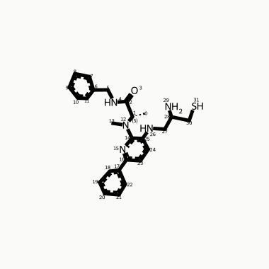 C[C@@H](C(=O)NCc1ccccc1)N(C)c1nc(-c2ccccc2)ccc1NCC(N)CS